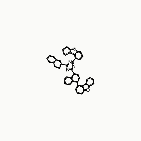 c1ccc2cc(-c3nc(-c4ccc(-c5cccc6oc7ccccc7c56)c5ccccc45)nc(-c4cccc5sc6ccccc6c45)n3)ccc2c1